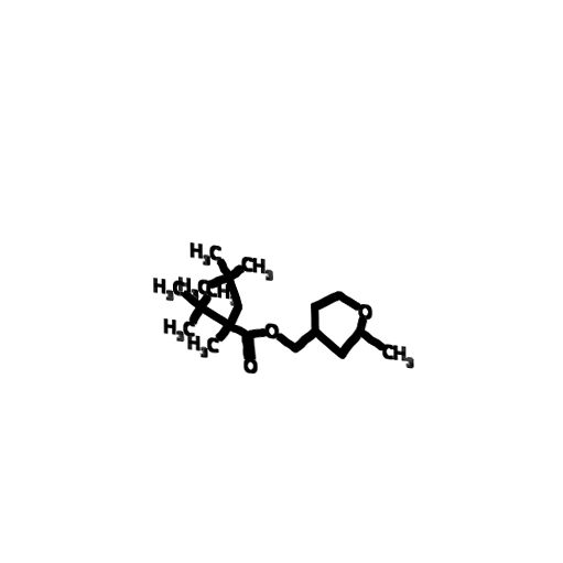 CC1CC(COC(=O)C(C)(CC(C)(C)C)C(C)(C)C)CCO1